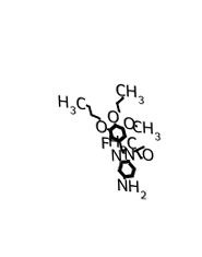 CCCCOc1c(OC)cc(-c2nc3cc(N)ccc3n2C2(C)COC2)c(F)c1OCCCC